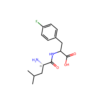 CC(C)C[C@H](N)C(=O)NC(Cc1ccc(F)cc1)C(=O)O